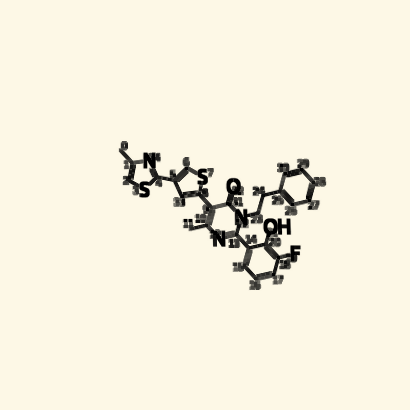 Cc1csc(-c2csc(-c3c(C)nc(-c4cccc(F)c4O)n(CCc4ccccc4)c3=O)c2)n1